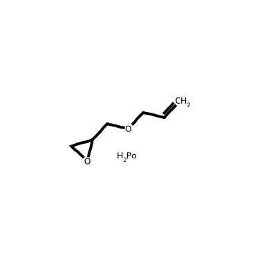 C=CCOCC1CO1.[PoH2]